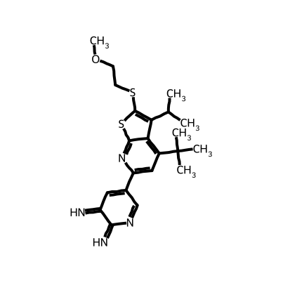 COCCSc1sc2nc(C3=CC(=N)C(=N)N=C3)cc(C(C)(C)C)c2c1C(C)C